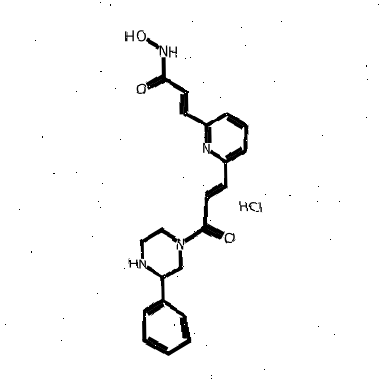 Cl.O=C(C=Cc1cccc(C=CC(=O)N2CCNC(c3ccccc3)C2)n1)NO